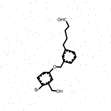 O=CCCCCc1cccc(COc2ccc(Br)c(CO)c2)c1